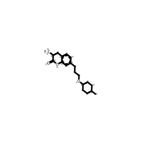 CC1CCC(OCCCc2ccc3c(c2)OC(=O)C(C(F)(F)F)C3)CC1